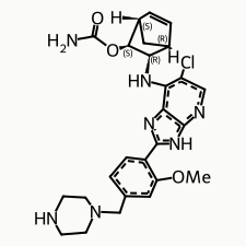 COc1cc(CN2CCNCC2)ccc1-c1nc2c(N[C@H]3[C@@H](OC(N)=O)[C@@H]4C=C[C@H]3C4)c(Cl)cnc2[nH]1